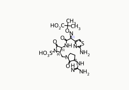 CC(C)(O/N=C(\C(=O)N[C@@H]1C(=O)N(S(=O)(=O)O)[C@@H]1CN1CC[C@@H](NC(=N)N)C1=O)c1csc(N)n1)C(=O)O